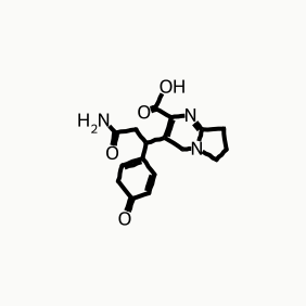 NC(=O)CC(C1=CCC(=O)C=C1)C1=C(C(=O)O)N=C2CCCN2C1